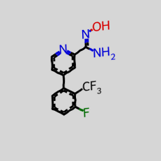 NC(=NO)c1cc(-c2cccc(F)c2C(F)(F)F)ccn1